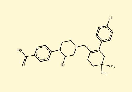 CC1(C)CCC(CN2CCN(c3ccc(C(=O)O)cc3)C(Br)C2)=C(c2ccc(Cl)cc2)C1